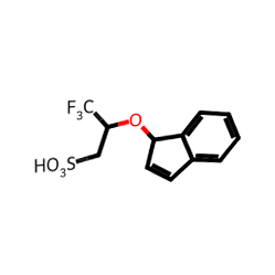 O=S(=O)(O)CC(OC1C=Cc2ccccc21)C(F)(F)F